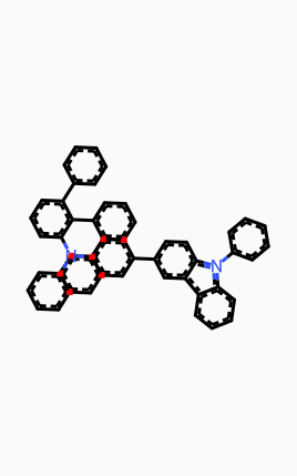 c1ccc(-c2ccccc2-c2c(-c3ccccc3)cccc2N(c2ccccc2)c2ccc(-c3ccc4c(c3)c3ccccc3n4-c3ccccc3)cc2)cc1